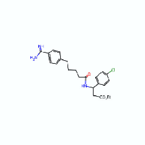 CCOC(=O)CC(NC(=O)CCCCc1ccc(C(=N)N)cc1)c1ccc(Cl)cc1